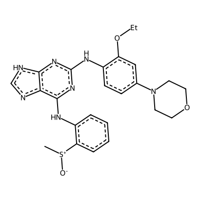 CCOc1cc(N2CCOCC2)ccc1Nc1nc(Nc2ccccc2[S+](C)[O-])c2nc[nH]c2n1